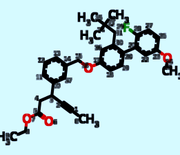 CC#CC(CC(=O)OCC)c1cccc(COc2ccc(-c3cc(OC)ccc3F)c(CC(C)(C)C)c2)c1